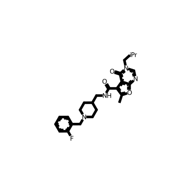 Cc1oc2ncn(CC(C)C)c(=O)c2c1C(=O)NCC1CCN(Cc2ccccc2F)CC1